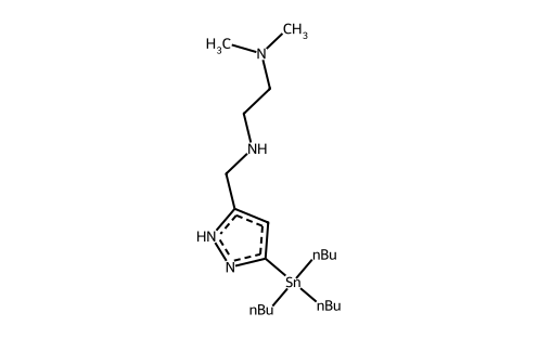 CCC[CH2][Sn]([CH2]CCC)([CH2]CCC)[c]1cc(CNCCN(C)C)[nH]n1